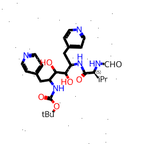 CC(C)[C@H](NC=O)C(=O)NC(Cc1ccncc1)C(O)C(O)C(Cc1ccncc1)NC(=O)OC(C)(C)C